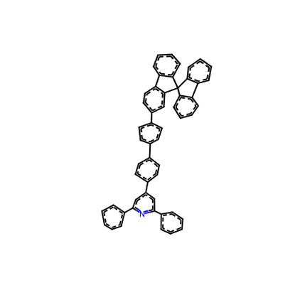 c1ccc(-c2cc(-c3ccc(-c4ccc(-c5ccc6c(c5)C5(c7ccccc7-c7ccccc75)c5ccccc5-6)cc4)cc3)cc(-c3ccccc3)n2)cc1